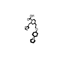 O=C(O)N1CCC(CCOc2ccc(-n3cccc3)cc2)CC1Cc1cscn1